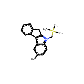 CC(C)(C)c1ccc2c(c1)c1c(n2CS(C)(C)C)Cc2ccccc2-1